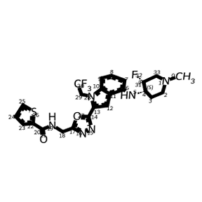 CN1CC[C@H](Nc2cccc3c2cc(-c2nnc(CNC(=O)c4cccs4)o2)n3CC(F)(F)F)[C@H](F)C1